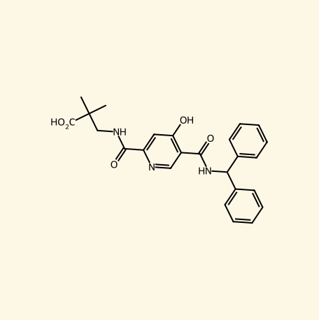 CC(C)(CNC(=O)c1cc(O)c(C(=O)NC(c2ccccc2)c2ccccc2)cn1)C(=O)O